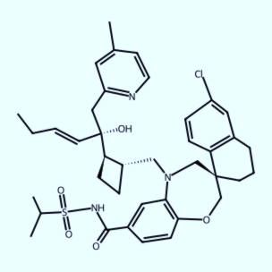 CC/C=C/[C@@](O)(Cc1cc(C)ccn1)[C@@H]1CC[C@H]1CN1C[C@@]2(CCCc3cc(Cl)ccc32)COc2ccc(C(=O)NS(=O)(=O)C(C)C)cc21